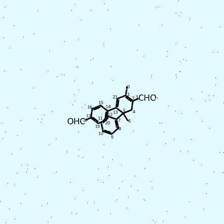 CC1=C(C=O)CC(C)(c2ccccc2)C(c2ccc(C=O)cc2)=C1